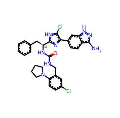 Nc1n[nH]c2cc(-c3nc([C@H](Cc4ccccc4)NC(=O)NCc4cc(Cl)ccc4N4CCCC4)[nH]c3Cl)ccc12